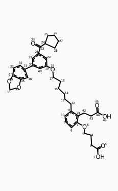 O=C(O)CCCOc1cccc(CCCCCCOc2cc(C(=O)C3CCCC3)cc(-c3ccc4c(c3)OCO4)c2)c1CCC(=O)O